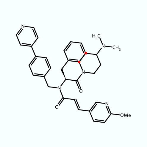 COc1ccc(/C=C/C(=O)N(Cc2ccc(-c3ccncc3)cc2)[C@@H](Cc2ccccc2)C(=O)N2CCC(N(C)C)CC2)cn1